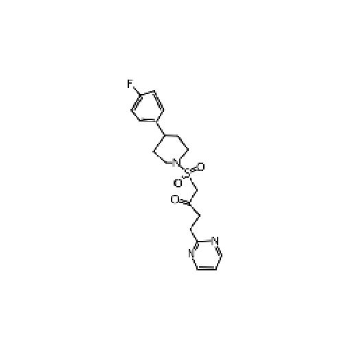 O=C(CCc1ncccn1)CS(=O)(=O)N1CCC(c2ccc(F)cc2)CC1